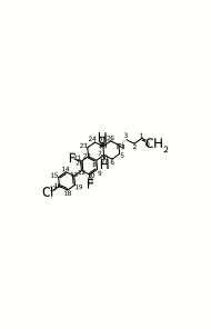 C=CCC[C@@H]1CC[C@@H]2c3cc(F)c(-c4ccc(Cl)cc4)c(F)c3CC[C@@H]2C1